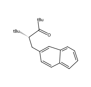 CC(C)(C)C(=O)[C@H](Cc1ccc2ccccc2c1)C(C)(C)C